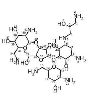 NCC(O)CN[C@@H]1C[C@H](N)[C@@H](O[C@H]2O[C@H](CN)C[C@@H](O)[C@H]2N)C(O[C@@H]2O[C@H](CO)[C@@H](O[C@H]3O[C@@H](CN)[C@@H](O)[C@H](O)[C@H]3N)[C@H]2O)[C@H]1O